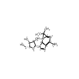 CC1(C)C2=NC(N)=C3N=CN([C@@H]4O[C@H](CO)[C@@H](O)[C@H]4O)C3N21